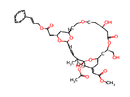 COC(=O)/C=C1\CC2C[C@H](CO)OC(=O)C[C@H](O)CCOCC[C@@H]3C[C@H](CC(=O)OC/C=C/c4ccccc4)O[C@H](/C=C/C(C)(C)[C@](O)(O2)[C@H]1OC(C)=O)O3